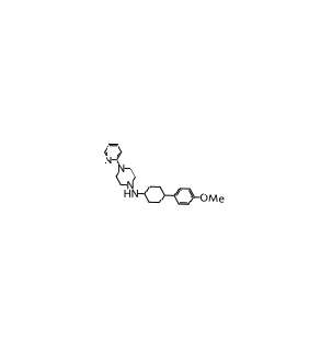 COc1ccc(C2CCC(NN3CCN(c4ccccn4)CC3)CC2)cc1